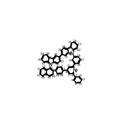 c1ccc(-c2cc(-c3ccccc3)nc(-c3cccc(-n4c5ccccc5c5ccc(-c6ccc7c(c6)c6ccccc6n7-c6cccc7ccccc67)cc54)c3)c2)cc1